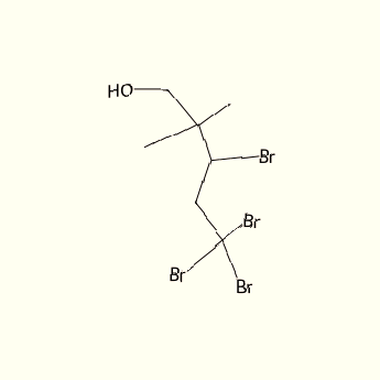 CC(C)(CO)C(Br)CC(Br)(Br)Br